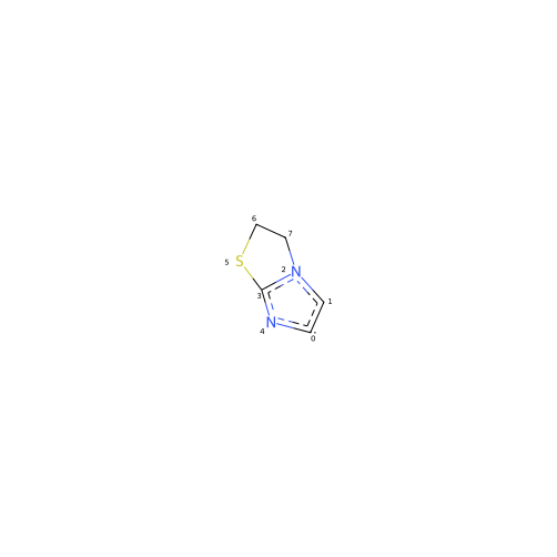 [c]1cn2c(n1)SCC2